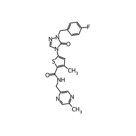 Cc1cnc(CNC(=O)c2sc(-n3cnn(Cc4ccc(F)cc4)c3=O)cc2C)cn1